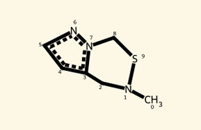 CN1Cc2ccnn2CS1